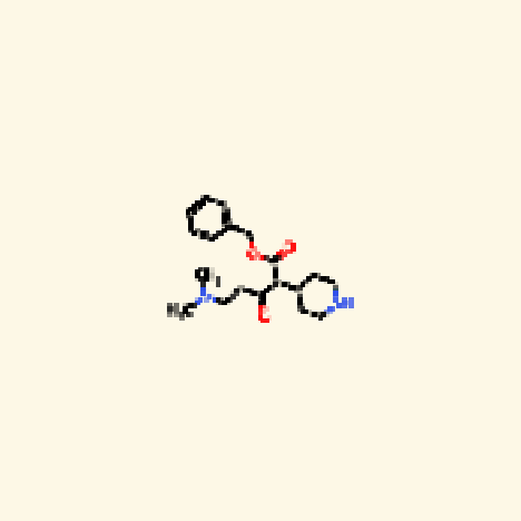 CN(C)CCC(=O)C(C(=O)OCc1ccccc1)C1CCNCC1